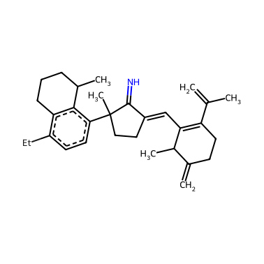 C=C(C)C1=C(/C=C2\CCC(C)(c3ccc(CC)c4c3C(C)CCC4)C2=N)C(C)C(=C)CC1